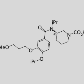 COCCCOc1cc(C(=O)N(C(C)C)[C@@H]2CCCN(C(=O)O)C2)ccc1OC(C)C